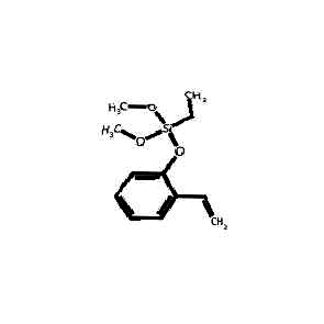 C=Cc1ccccc1O[Si](CC)(OC)OC